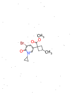 COC(=O)C1(c2cc(Br)c(=O)n(C3CC3)c2)CC(C)C1